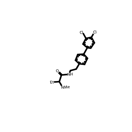 CCC(NC)C(=O)NCCc1ccc(-c2ccc(Cl)c(Cl)c2)cc1